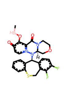 CBOc1c2n(ccc1=O)N([C@@H]1c3ccccc3SCc3c1ccc(F)c3F)[C@@H]1COCCN1C2=O